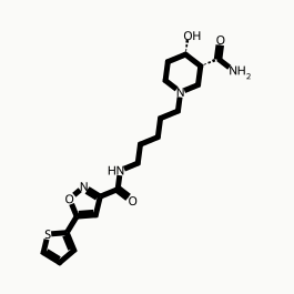 NC(=O)[C@@H]1CN(CCCCCNC(=O)c2cc(-c3cccs3)on2)CC[C@@H]1O